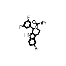 CCCC(=O)N1CCc2c([nH]c3ccc(Br)cc23)C1c1cc(F)cc(F)c1